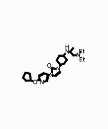 CCN(CC)CC(C)NC1CCC(n2ccn(-c3ccc(OC4CCCC4)nc3)c2=O)CC1